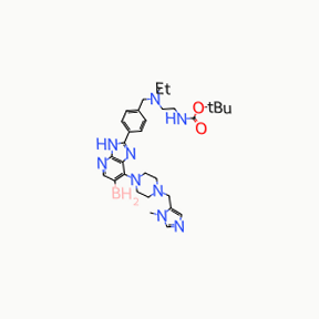 Bc1cnc2[nH]c(-c3ccc(CN(CC)CCNC(=O)OC(C)(C)C)cc3)nc2c1N1CCN(Cc2cncn2C)CC1